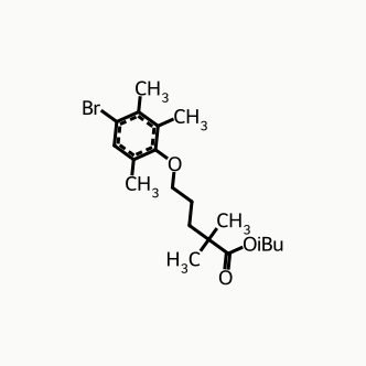 Cc1cc(Br)c(C)c(C)c1OCCCC(C)(C)C(=O)OCC(C)C